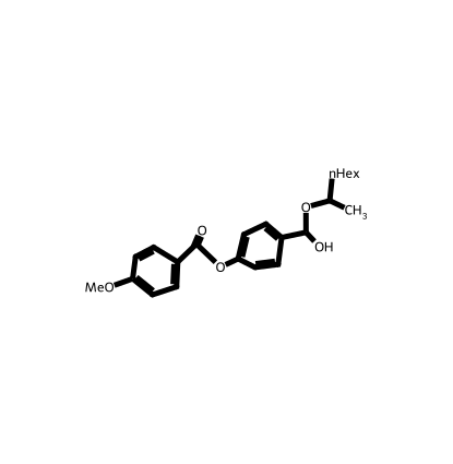 CCCCCCC(C)OC(O)c1ccc(OC(=O)c2ccc(OC)cc2)cc1